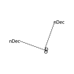 CCCCCCCCCCCCCCCCCCCCCCCCCCCCCCCCC=C1OC(=O)C1CCCCCCCCCCCCCCCCCCCCCCCCCCCCCCCC